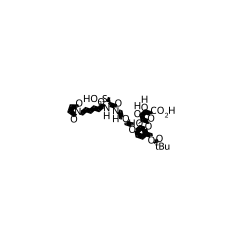 CC(C)(C)C(=O)OCc1ccc(OCCOCCNC(=O)[C@H](CS(=O)(=O)O)NC(=O)CCCCCN2C(=O)C=CC2=O)cc1O[C@@H]1O[C@H](C(=O)O)[C@@H](O)[C@H](O)[C@H]1O